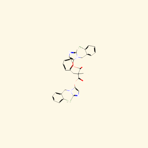 CCCCc1ncc(OC(=O)C(C)(Cc2ccccc2)C(=O)Oc2cnc(CCCC)n2Cc2ccccc2Cl)n1Cc1ccccc1Cl